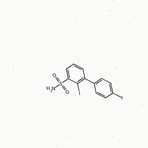 NS(=O)(=O)c1cccc(-c2ccc(I)cc2)c1I